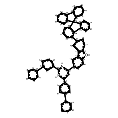 c1ccc(-c2ccc(-c3cc(-c4ccc5oc6ccc(-c7cccc8c7-c7ccccc7C87c8ccccc8-c8ccccc87)cc6c5c4)nc(-c4cccc(-c5ccccc5)c4)n3)cc2)cc1